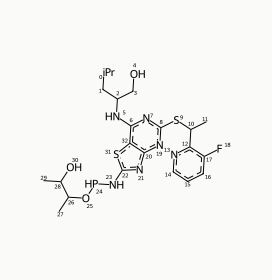 CC(C)CC(CO)Nc1nc(SC(C)c2ncccc2F)nc2nc(NPOC(C)C(C)O)sc12